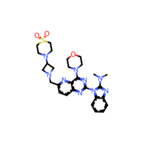 CN(C)c1nc2ccccc2n1-c1nc(N2CCOCC2)c2nc(CN3CC(N4CCS(=O)(=O)CC4)C3)ccc2n1